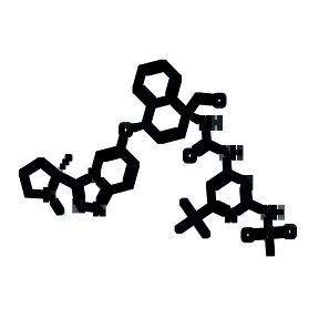 CN1CCC[C@@]1(C)c1nnc2ccc(O[C@@H]3C=C[C@](C=O)(NC(=O)Nc4cc(C(C)(C)C)nc(NS(C)(=O)=O)n4)c4ccccc43)cn12